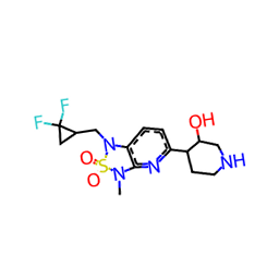 CN1c2nc(C3CCNCC3O)ccc2N(CC2CC2(F)F)S1(=O)=O